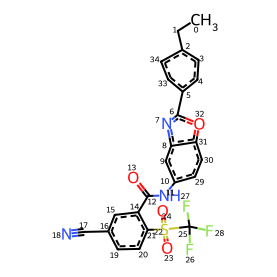 CCc1ccc(-c2nc3cc(NC(=O)c4cc(C#N)ccc4S(=O)(=O)C(F)(F)F)ccc3o2)cc1